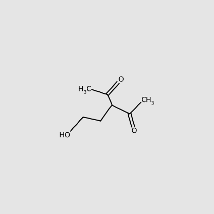 CC(=O)C(CCO)C(C)=O